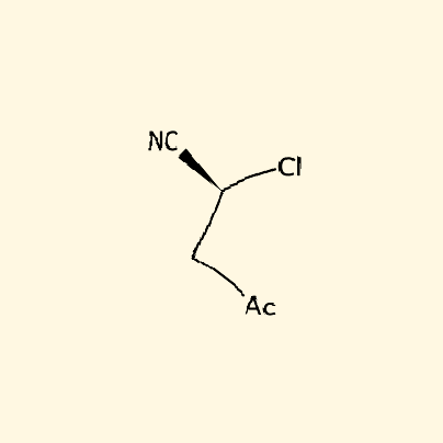 CC(=O)C[C@H](Cl)C#N